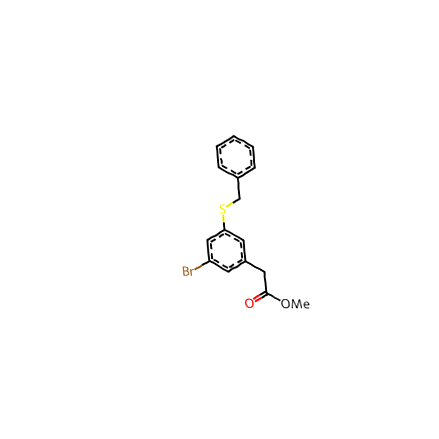 COC(=O)Cc1cc(Br)cc(SCc2ccccc2)c1